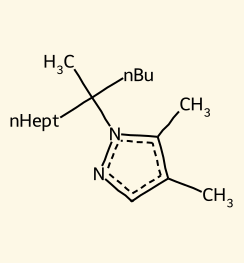 CCCCCCCC(C)(CCCC)n1ncc(C)c1C